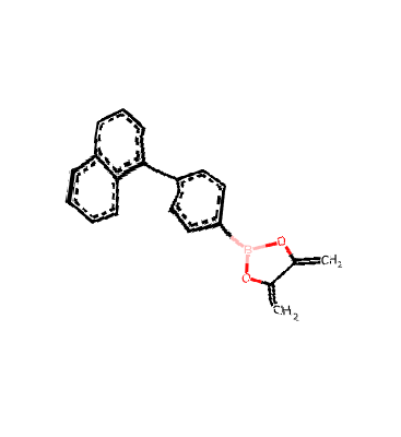 C=C1OB(c2ccc(-c3cccc4ccccc34)cc2)OC1=C